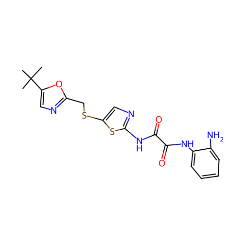 CC(C)(C)c1cnc(CSc2cnc(NC(=O)C(=O)Nc3ccccc3N)s2)o1